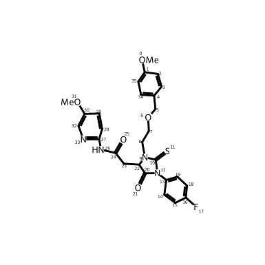 COc1ccc(COCCN2C(=S)N(c3ccc(F)cc3)C(=O)C2CC(=O)Nc2ccc(OC)cn2)cc1